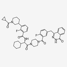 O=C(N[C@@H](C(=O)N1CCN(C(=O)c2cc(Cc3n[nH]c(=O)c4ccccc34)ccc2F)CC1)C1CCCCC1)c1cccc(C2CCCN(C(=O)C3CC3)C2)c1F